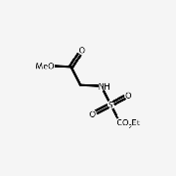 CCOC(=O)S(=O)(=O)NCC(=O)OC